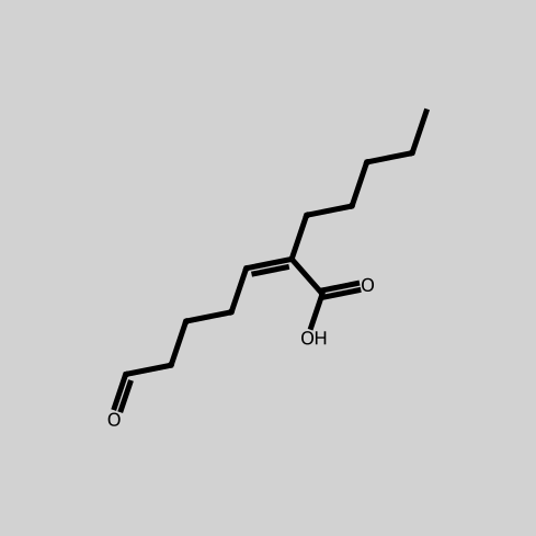 CCCCCC(=CCCCC=O)C(=O)O